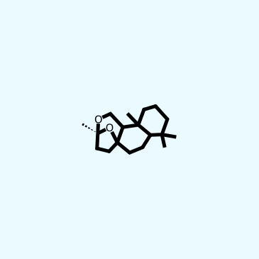 CC1(C)CCCC2(C)C1CCC13CC[C@@](C)(OCC12)O3